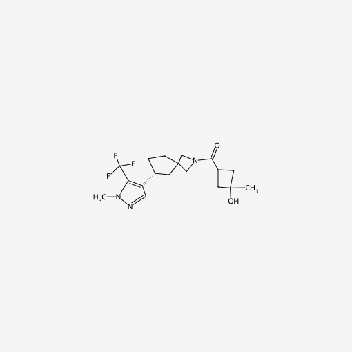 Cn1ncc([C@@H]2CCC3(C2)CN(C(=O)C2CC(C)(O)C2)C3)c1C(F)(F)F